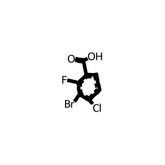 O=C(O)c1ccc(Cl)c(Br)c1F